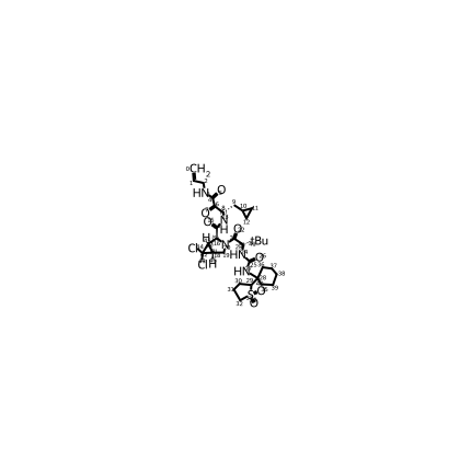 C=CCNC(=O)C(=O)[C@H](CC1CC1)NC(=O)[C@@H]1[C@@H]2[C@H](CN1C(=O)[C@@H](NC(=O)NC1(C3CCCS3(=O)=O)CCCCC1)C(C)(C)C)C2(Cl)Cl